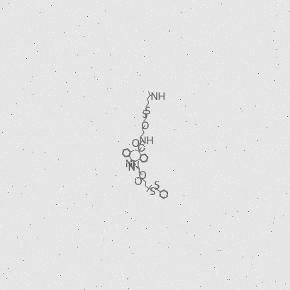 CC(=N)CCCSSCCOCCCNC(=O)OC1Cc2ccccc2-c2nnn(CCOC(=O)CCC(C)(C)SC(=S)c3ccccc3)c2-c2ccccc21